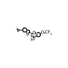 C[C@@H](NC(=O)c1cc2ccc(C3C[C@@H]3C)cc2n1C)c1ccc(OCC(F)(F)F)cn1